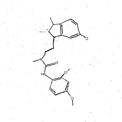 COc1ccc(NC(=S)N(C)CCC2c3cc(Cl)ccc3C(C)[C@H]2C)c(OC)c1